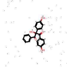 O=C(c1ccccc1)C(O)(C(=O)c1ccc(O)cc1)c1ccc(O)cc1